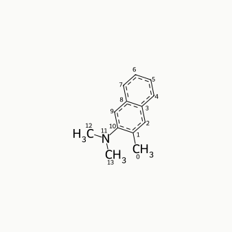 Cc1cc2ccccc2cc1N(C)C